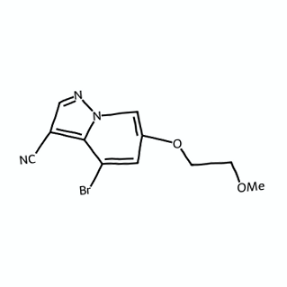 COCCOc1cc(Br)c2c(C#N)cnn2c1